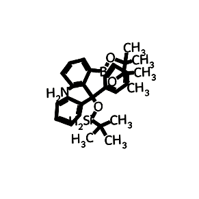 CC(C)(C)[SiH2]OC(c1ccccc1)(c1ccccc1)c1c(N)cccc1B1OC(C)(C)C(C)(C)O1